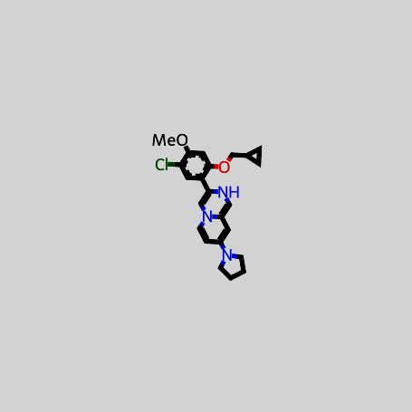 COc1cc(OCC2CC2)c(C2=CN3C=CC(N4CCCC4)=CC3=CN2)cc1Cl